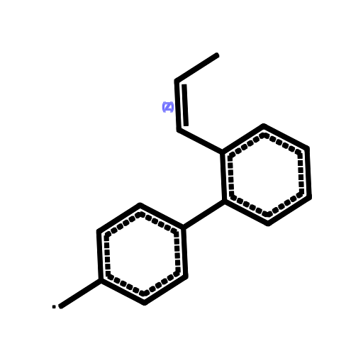 [CH2]c1ccc(-c2ccccc2/C=C\C)cc1